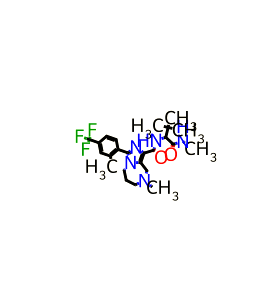 CNC(=O)C(NC(=O)c1nc(-c2ccc(C(F)(F)F)cc2C)n2c1CN(C)CCC2)C(C)(C)C